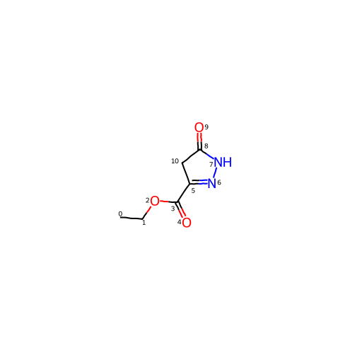 CCOC(=O)C1=NNC(=O)C1